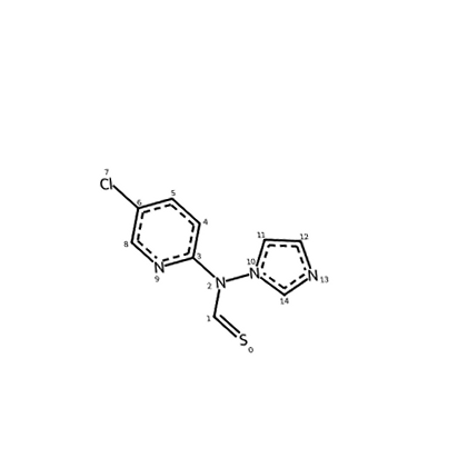 S=CN(c1ccc(Cl)cn1)n1ccnc1